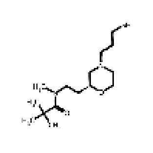 CN(CC[C@H]1CN(CCCS)CCO1)C(=O)C(C)(C)C